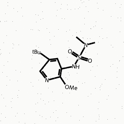 COc1ncc(C(C)(C)C)cc1NS(=O)(=O)N(C)C